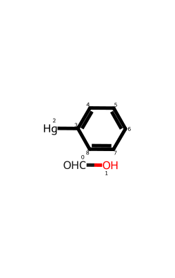 O=CO.[Hg][c]1ccccc1